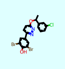 CC(Oc1ccc(-c2cc(Br)c(O)c(Br)c2)nn1)c1cccc(Cl)c1